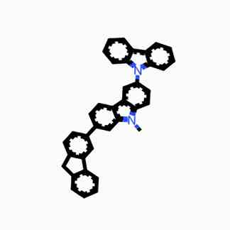 Cn1c2ccc(-n3c4ccccc4c4ccccc43)cc2c2ccc(-c3ccc4c(c3)-c3ccccc3C4)cc21